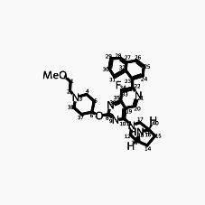 COCCN1CCC(Oc2nc(N3C[C@H]4CC[C@@H](C3)N4)c3cnc(-c4cccc5ccccc45)c(F)c3n2)CC1